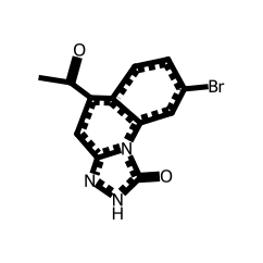 CC(=O)c1cc2n[nH]c(=O)n2c2cc(Br)ccc12